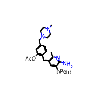 CCCCCc1cc(Cc2ccc(CN3CCN(C)CC3)cc2OC(C)=O)c(C)nc1N